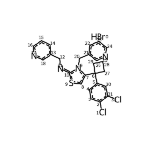 Br.Clc1ccc(C2(c3csc(=NCc4cccnc4)n3Cc3cccnc3)CCC2)cc1Cl